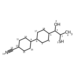 CC(S)C(O)C1CCC(C2CCC(C#N)CC2)CC1